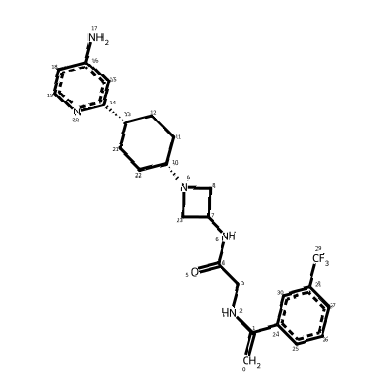 C=C(NCC(=O)NC1CN([C@H]2CC[C@@H](c3cc(N)ccn3)CC2)C1)c1cccc(C(F)(F)F)c1